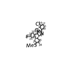 CSc1ccc(-c2cnn(-c3cccc(Cl)c3)c(=O)c2-c2ccc(F)cc2)cc1C